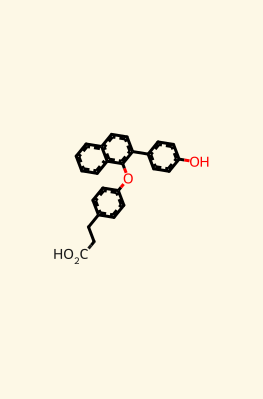 O=C(O)CCc1ccc(Oc2c(-c3ccc(O)cc3)ccc3ccccc23)cc1